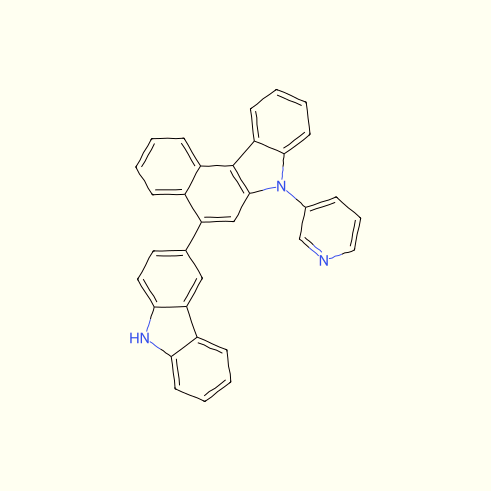 c1cncc(-n2c3ccccc3c3c4ccccc4c(-c4ccc5[nH]c6ccccc6c5c4)cc32)c1